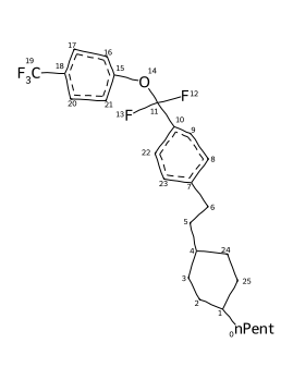 CCCCCC1CCC(CCc2ccc(C(F)(F)Oc3ccc(C(F)(F)F)cc3)cc2)CC1